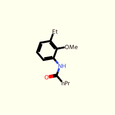 CCCC(=O)Nc1cccc(CC)c1OC